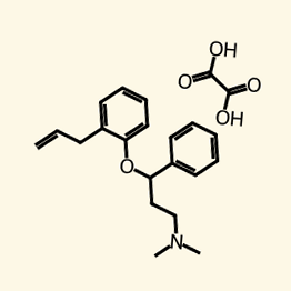 C=CCc1ccccc1OC(CCN(C)C)c1ccccc1.O=C(O)C(=O)O